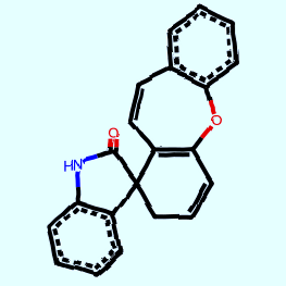 O=C1Nc2ccccc2C12CC=CC1=C2C=Cc2ccccc2O1